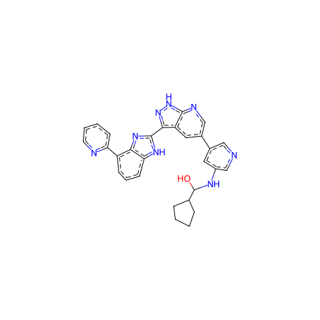 OC(Nc1cncc(-c2cnc3[nH]nc(-c4nc5c(-c6ccccn6)cccc5[nH]4)c3c2)c1)C1CCCC1